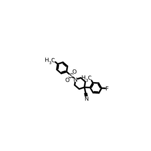 Cc1ccc(S(=O)(=O)N2CCC(C#N)(c3ccc(F)cc3C)CC2)cc1